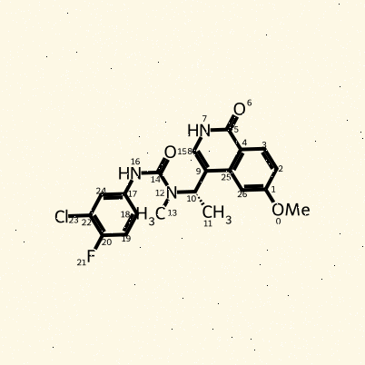 COc1ccc2c(=O)[nH]cc([C@H](C)N(C)C(=O)Nc3ccc(F)c(Cl)c3)c2c1